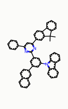 CC1(C)c2ccccc2-c2ccc(-c3cc(-c4ccccc4)nc(-c4cc(-c5ccc6ccccc6c5)cc(-n5c6ccccc6c6ccccc65)c4)n3)cc21